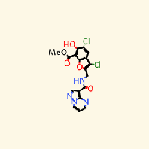 COC(=O)c1c(O)c(Cl)cc2c(Cl)c(CNC(=O)c3cnn4cccnc34)oc12